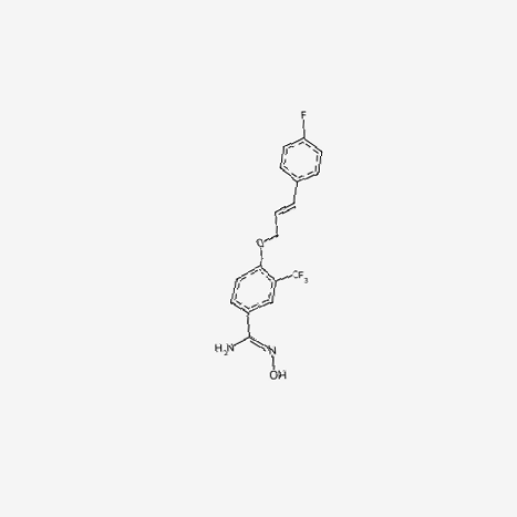 N/C(=N\O)c1ccc(OC/C=C/c2ccc(F)cc2)c(C(F)(F)F)c1